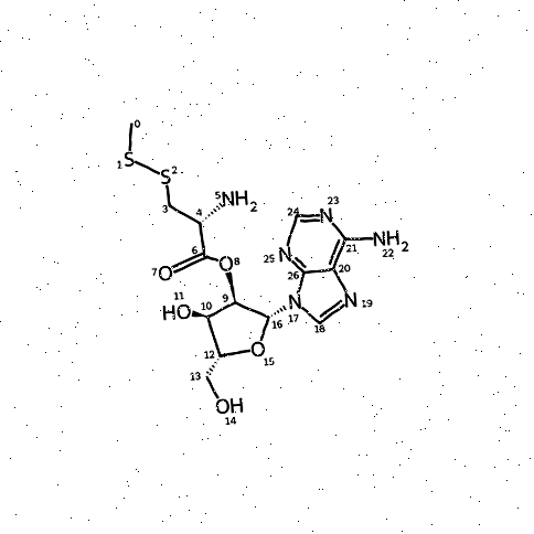 CSSC[C@H](N)C(=O)O[C@@H]1[C@H](O)[C@@H](CO)O[C@H]1n1cnc2c(N)ncnc21